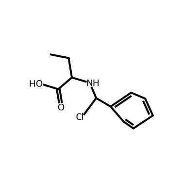 CCC(NC(Cl)c1ccccc1)C(=O)O